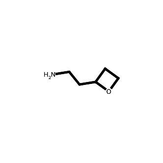 NCC[C]1CCO1